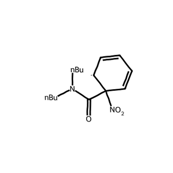 CCCCN(CCCC)C(=O)C1([N+](=O)[O-])[CH]C=CC=C1